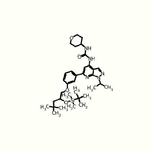 CC(C)n1ncc2c(NC(=O)NC3CCOCC3)cc(-c3cccc(OCC([CH]C(C)(C)C)O[Si](C)(C)C(C)(C)C)c3)nc21